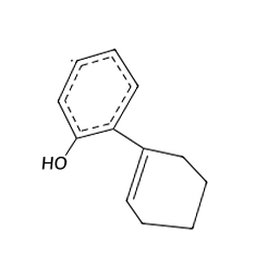 Oc1c[c]ccc1C1=CCCCC1